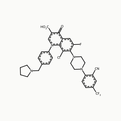 N#Cc1cc(C(F)(F)F)ccc1N1CCN(c2c(F)cc3c(=O)c(C(=O)O)cn(-c4ccc(CN5CCCC5)cc4)c3c2Cl)CC1